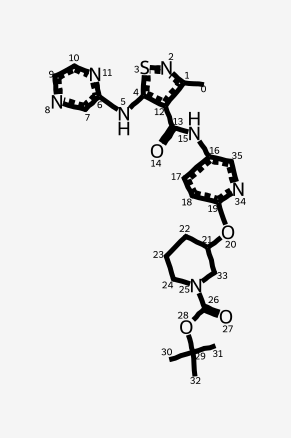 Cc1nsc(Nc2cnccn2)c1C(=O)Nc1ccc(OC2CCCN(C(=O)OC(C)(C)C)C2)nc1